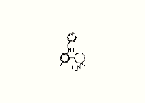 Cc1ccc(NCc2ccncc2)c([C@H]2CCCCC(C)(N)C2)c1